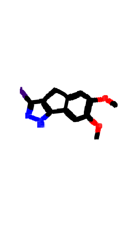 COc1cc2c(cc1OC)-c1[nH]nc(I)c1C2